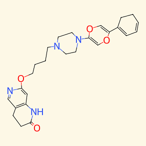 O=C1CCc2cnc(OCCCCN3CCN(C4=COC(C5=CC=CCC5)=CO4)CC3)cc2N1